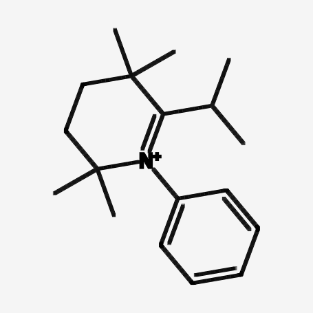 CC(C)C1=[N+](c2ccccc2)C(C)(C)CCC1(C)C